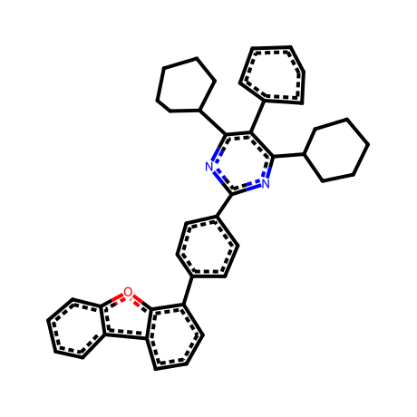 c1ccc(-c2c(C3CCCCC3)nc(-c3ccc(-c4cccc5c4oc4ccccc45)cc3)nc2C2CCCCC2)cc1